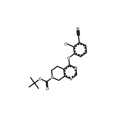 CC(C)(C)OC(=O)N1CCc2c(ncnc2Oc2cccc(C#N)c2Cl)C1